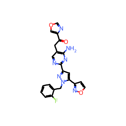 Nc1nc(-c2cc(-c3ccon3)n(Cc3ccccc3F)n2)ncc1CC(=O)c1cocn1